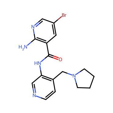 Nc1ncc(Br)cc1C(=O)Nc1cnccc1CN1CCCC1